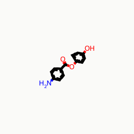 Nc1ccc(C(=O)Oc2ccc(O)cc2)cc1